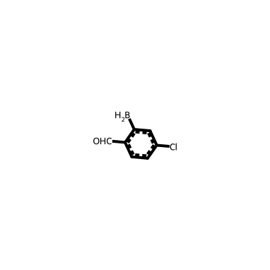 Bc1cc(Cl)ccc1C=O